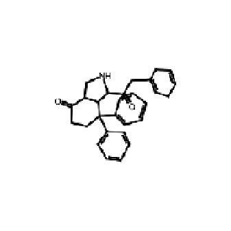 O=C1CCC(c2ccccc2)(c2ccccc2)C2C1CNC2C(=O)CC1=CCC=CC1